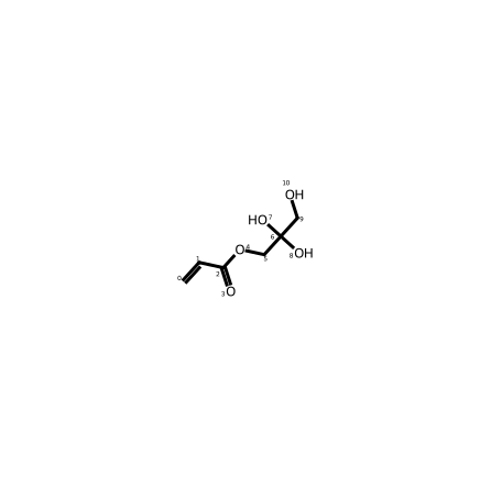 C=CC(=O)OCC(O)(O)CO